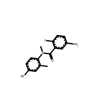 Cc1cc(C#N)ccc1N(C)C(=O)c1cc([N+](=O)[O-])ccc1F